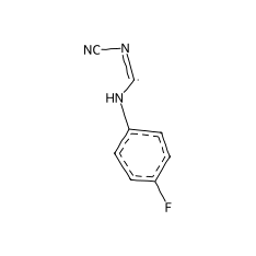 N#C/N=[C]\Nc1ccc(F)cc1